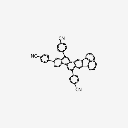 N#Cc1ccc(-c2ccc3c(c2)c(-c2ccc(C#N)cc2)cc2c4cc5c(cc4c(-c4ccc(C#N)cc4)cc32)-c2cccc3cccc-5c23)cc1